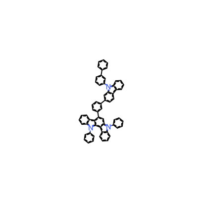 c1ccc(-c2cccc(-n3c4ccccc4c4ccc(-c5cccc(-c6cc7c(c8ccccc8n7-c7ccccc7)c7c6c6ccccc6n7-c6ccccc6)c5)cc43)c2)cc1